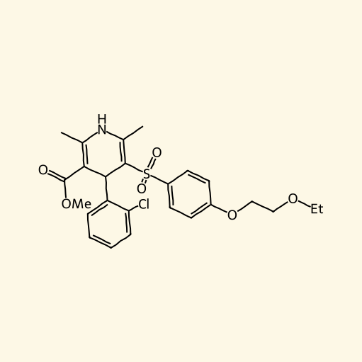 CCOCCOc1ccc(S(=O)(=O)C2=C(C)NC(C)=C(C(=O)OC)C2c2ccccc2Cl)cc1